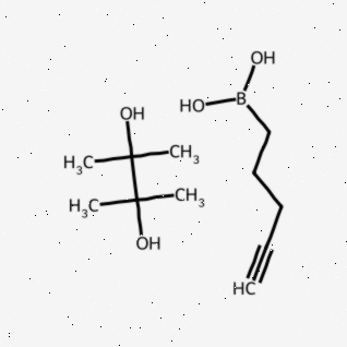 C#CCCCB(O)O.CC(C)(O)C(C)(C)O